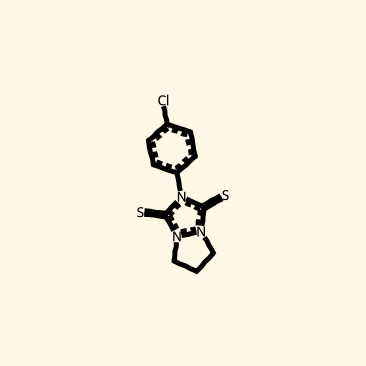 S=c1n(-c2ccc(Cl)cc2)c(=S)n2n1CCC2